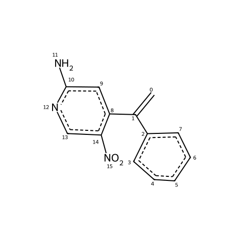 C=C(c1ccccc1)c1cc(N)ncc1[N+](=O)[O-]